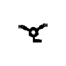 C#Cc1cc(C#C)cc(NC(C)=O)c1